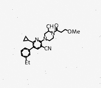 CCc1cccc(-c2cc(C#N)c(N3CCN(C(=O)CCOC)C(C)C3)nc2C2CC2)c1